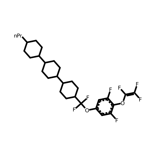 CCCC1CCC(C2CCC(C3CCC(C(F)(F)Oc4cc(F)c(OC(F)=C(F)F)c(F)c4)CC3)CC2)CC1